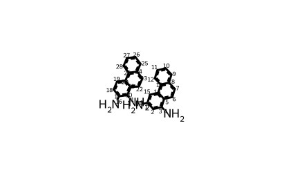 Nc1cc(N)c2ccc3ccccc3c2c1.Nc1ccc2c(ccc3ccccc32)c1N